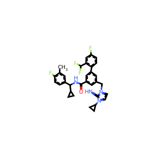 Cc1cc(C(NC(=O)c2cc(Cn3ccn(C4CC4)c3=N)cc(-c3ccc(F)cc3C(F)F)c2)C2CC2)ccc1F